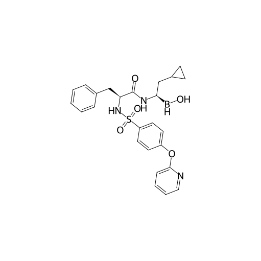 O=C(N[C@H](BO)CC1CC1)[C@H](Cc1ccccc1)NS(=O)(=O)c1ccc(Oc2ccccn2)cc1